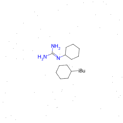 CCC(C)C1CCCCC1.NC(N)=NC1CCCCC1